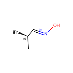 CC(C)[C@H](C)/C=N/O